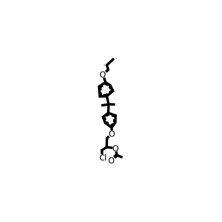 [CH2][CH]COc1ccc(C(C)(C)c2ccc(OCC(CCl)OC(C)=O)cc2)cc1